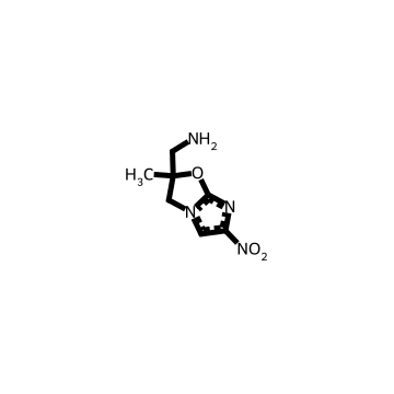 CC1(CN)Cn2cc([N+](=O)[O-])nc2O1